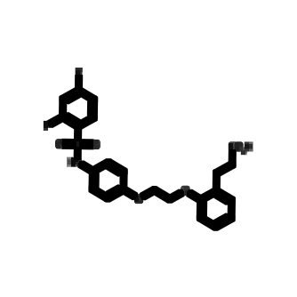 O=C(O)CCc1ccccc1OCCOc1ccc(NS(=O)(=O)c2ccc(F)cc2F)cc1